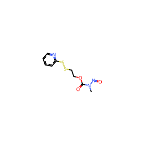 CN(N=O)C(=O)OCCSSc1ccccn1